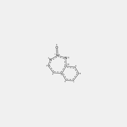 O=[n+]1nccc2ccccc2n1